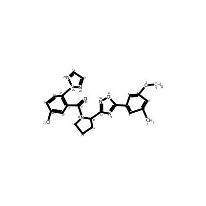 COc1cc(C)cc(-c2nc(C3CCCN3C(=O)c3cc(Cl)ccc3-n3nccn3)no2)c1